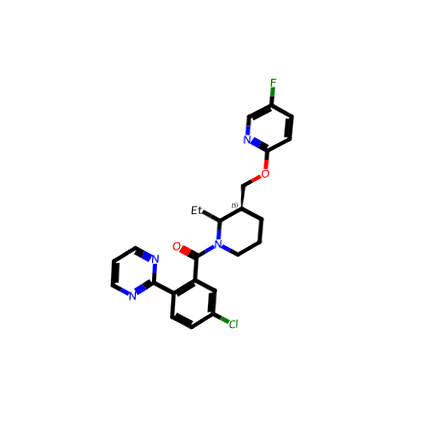 CCC1[C@@H](COc2ccc(F)cn2)CCCN1C(=O)c1cc(Cl)ccc1-c1ncccn1